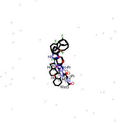 COC(=O)N[C@H](C(=O)N1[C@H](c2nc3c(F)c(-c4cc5cc6c4CCc4cc(F)c(c(-c7ccc8[nH]c([C@@H]9C[C@@H]%10CCCC[C@@H]%10N9C(=O)[C@@H](NC(=O)OC)C(C)C)nc8c7F)c4)C6(F)CC5)ccc3[nH]2)C[C@@H]2CCCC[C@@H]21)C(C)C